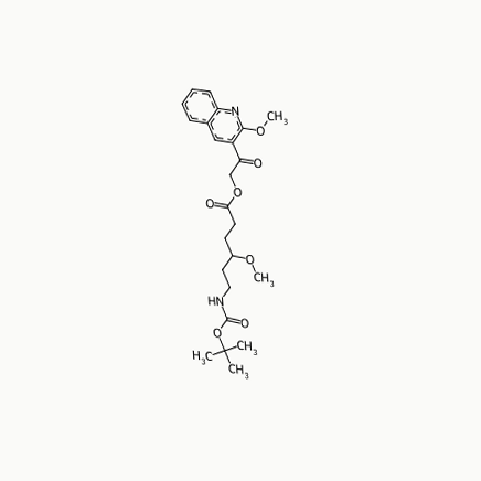 COc1nc2ccccc2cc1C(=O)COC(=O)CCC(CCNC(=O)OC(C)(C)C)OC